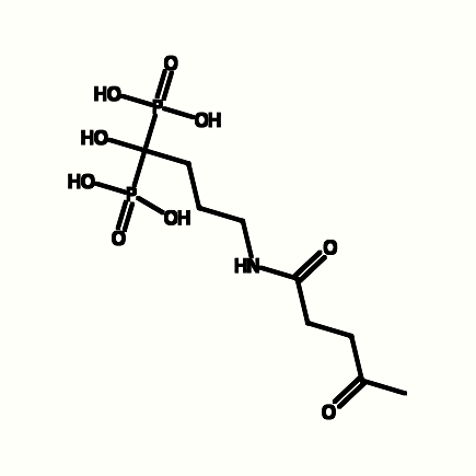 CC(=O)CCC(=O)NCCCC(O)(P(=O)(O)O)P(=O)(O)O